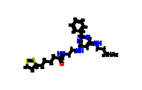 CC(=O)NCCNc1cc(NCCNC(=O)CCCCC2CCSS2)nc(-c2ccccc2)n1